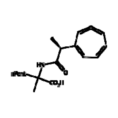 CCCCCC(C)(NC(=O)[C@@H](C)C1=CC=CC=C=C1)C(=O)O